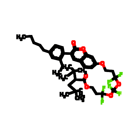 CCCCCc1ccc(-c2cc3ccc(OCCC(F)(F)OC(F)(F)OC(F)(F)CCOC(=O)C(CC(C)(C)C)C(C)(C)C)cc3oc2=O)c(CC)c1